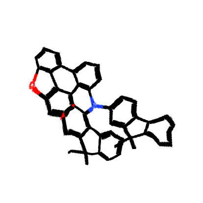 CC1(C)c2ccccc2-c2ccc(N(c3cccc4c3-c3ccccc3C4(C)C)c3cccc4c5cccc6oc7cccc(c34)c7c65)cc21